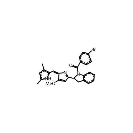 COC1=CC(C2Cc3ccccc3N2C(=O)c2ccc(Br)cc2)=N/C1=C/c1[nH]c(C)cc1C